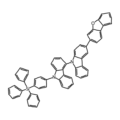 c1ccc([Si](c2ccccc2)(c2ccccc2)c2ccc(-n3c4ccccc4c4c(-n5c6ccccc6c6cc(-c7ccc8c(c7)oc7ccccc78)ccc65)cccc43)cc2)cc1